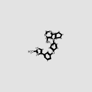 Cc1nc(-c2cccc(Oc3ccc(-n4c5c(c6ncnc(N)c64)CCC5)cc3)c2)cs1